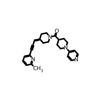 Cc1cccc(C#CC=C2CCN(C(=O)C3CCN(c4ccncc4)CC3)CC2)n1